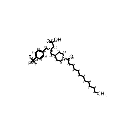 CCCCCCCCCCCCC(=O)N1CCC(CN(CC(=O)O)Cc2ccc(C(F)(F)F)cc2)CC1